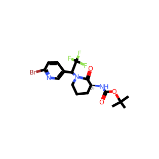 CC(C)(C)OC(=O)N[C@H]1CCCN(C(c2ccc(Br)nc2)C(F)(F)F)C1=O